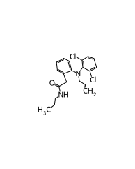 C=CCN(c1ccccc1CC(=O)NCCC)c1c(Cl)cccc1Cl